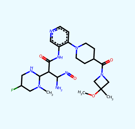 COC1(C)CN(C(=O)C2CCN(c3ccncc3NC(=O)C(C(N)N=O)C3NCC(F)CN3C)CC2)C1